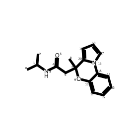 CC(C)NC(=O)CC1(C)Oc2ccccc2-n2cccc21